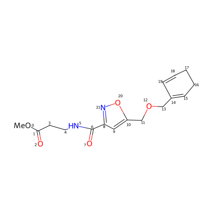 COC(=O)CCNC(=O)c1cc(COCC2=CCCC=C2)on1